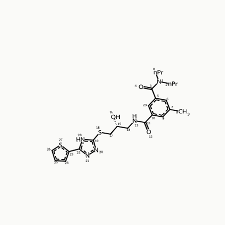 CCCN(CCC)C(=O)c1cc(C)cc(C(=O)NC[C@@H](O)CSc2nnc(-c3cccs3)[nH]2)c1